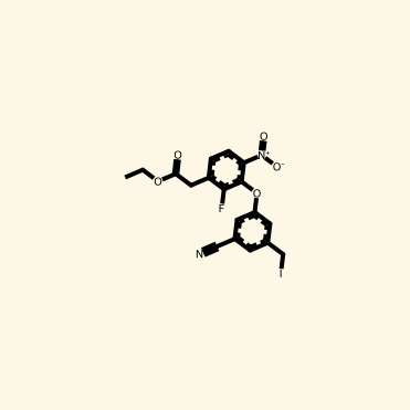 CCOC(=O)Cc1ccc([N+](=O)[O-])c(Oc2cc(C#N)cc(CI)c2)c1F